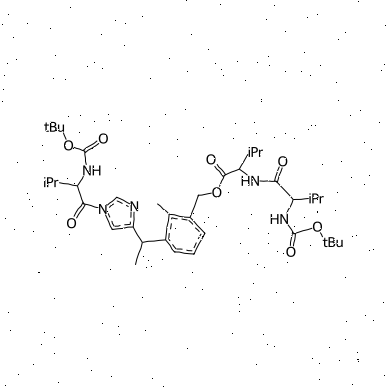 Cc1c(COC(=O)C(NC(=O)C(NC(=O)OC(C)(C)C)C(C)C)C(C)C)cccc1C(C)c1cn(C(=O)C(NC(=O)OC(C)(C)C)C(C)C)cn1